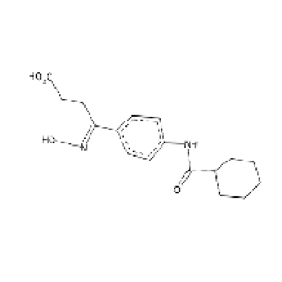 O=C(O)CCC(=NO)c1ccc(NC(=O)C2CCCCC2)cc1